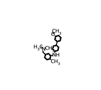 COc1cccc(-c2ccc(Nc3cc(CN(C)C)ccc3C)cc2)c1